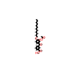 CC(=O)O.CCCCCCCCCCCCOc1ccc(C(=O)c2cccc(C(=O)O)c2)cc1